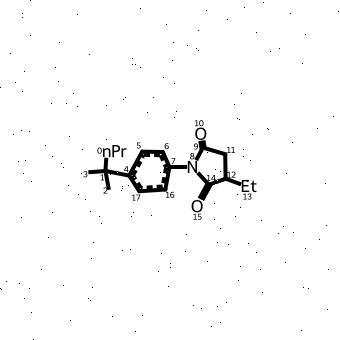 CCCC(C)(C)c1ccc(N2C(=O)CC(CC)C2=O)cc1